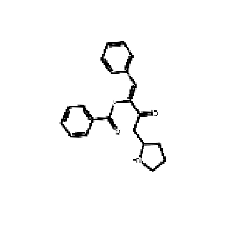 O=C(CC1CCCN1)C(=Cc1ccccc1)NC(=O)c1ccccc1